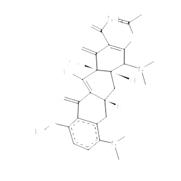 C=C(C)OC1=C(C(N)=O)C(=O)[C@@]2(OC(C)=O)C(O)=C3C(=O)c4c(OCCCC)ccc(N(C)C)c4C[C@H]3C[C@H]2C1N(C)C